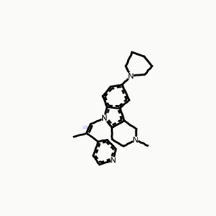 C/C(=C/n1c2c(c3cc(N4CCCCC4)ccc31)CN(C)CC2)c1ccncc1